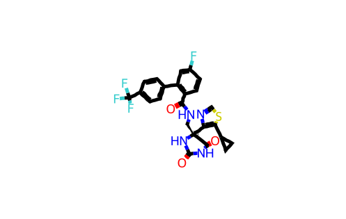 O=C1NC(=O)[C@@](CNC(=O)c2ccc(F)cc2-c2ccc(C(F)(F)F)cc2)(c2ncsc2C2CC2)N1